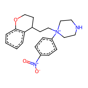 O=[N+]([O-])c1ccc([N+]2(CCC3CCOc4ccccc43)CCNCC2)cc1